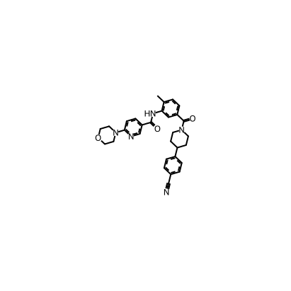 Cc1ccc(C(=O)N2CCC(c3ccc(C#N)cc3)CC2)cc1NC(=O)c1ccc(N2CCOCC2)nc1